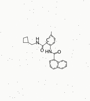 Cc1ccc(NC(=O)c2cccc3ccccc23)c(C(=O)NCC2CCC2)c1